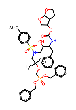 COc1ccc(S(=O)(=O)N(CC(O)C(Cc2ccccc2)NC(=O)OC2COC3OCCC23)CC(C)(C)OCP(=O)(OCc2ccccc2)OCc2ccccc2)cc1